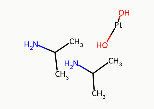 CC(C)N.CC(C)N.[OH][Pt][OH]